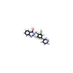 O=c1c2ccccc2ncn1Cc1c(F)cc(-c2cccnc2)cc1F